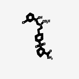 NC(=O)c1cccc(S(=O)(=O)c2ccc(CCN(C[C@H](O)c3cccc(Cl)c3)C(=O)O)cc2)c1